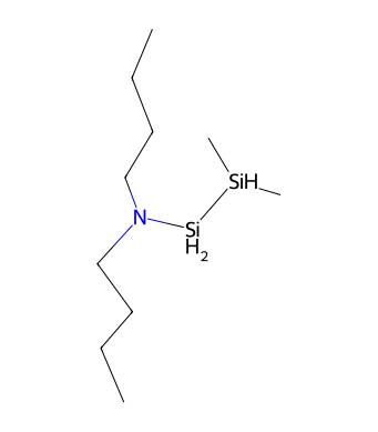 CCCCN(CCCC)[SiH2][SiH](C)C